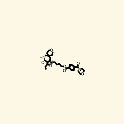 CCc1nn(CCCCOC(=O)c2ccc(C(=O)N3CCOCC3)cc2)c2c1C(=O)NCC1(CCOCC1)C2